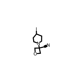 N#CC1(N2CCC(I)CC2)COC1